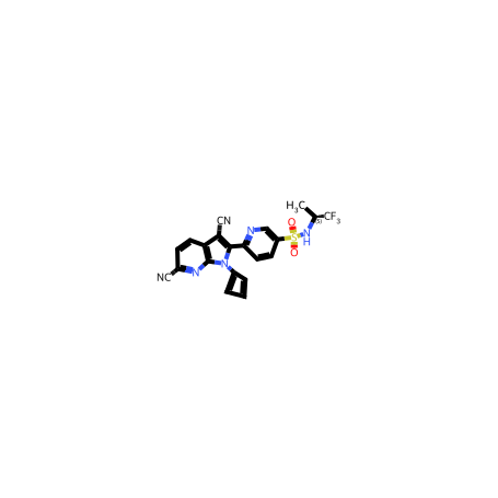 C[C@H](NS(=O)(=O)c1ccc(-c2c(C#N)c3ccc(C#N)nc3n2C2=CC=C2)nc1)C(F)(F)F